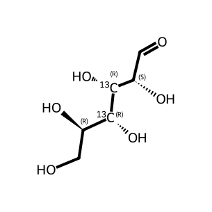 O=C[C@H](O)[13C@@H](O)[13C@H](O)[C@H](O)CO